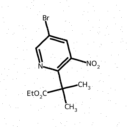 CCOC(=O)C(C)(C)c1ncc(Br)cc1[N+](=O)[O-]